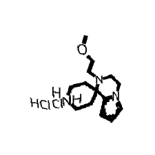 COCCN1CCn2cccc2C12CCNCC2.Cl.Cl